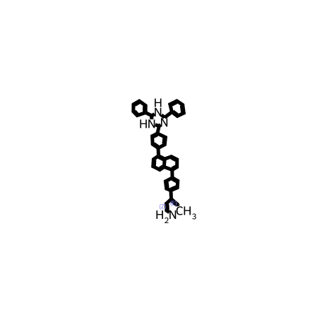 C/C=C(\C=C/N)c1ccc(-c2cccc3c(-c4ccc(C5N=C(c6ccccc6)NC(c6ccccc6)N5)cc4)cccc23)cc1